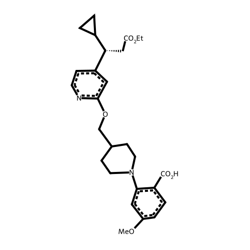 CCOC(=O)C[C@H](c1ccnc(OCC2CCN(c3cc(OC)ccc3C(=O)O)CC2)c1)C1CC1